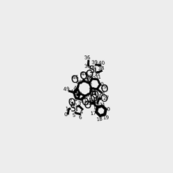 CC[Si](CC)(CC)OC1C[C@@]2(O)[C@@H](OC(=O)c3ccccc3)[C@@H]3[C@]4(OC(C)=O)COC4CC(O[Si](CC)(CC)CC)[C@@]3(C)C(=O)C(=O)C(=C1C)C2(C)C